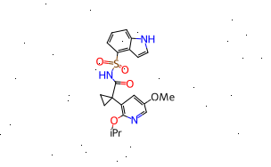 COc1cnc(OC(C)C)c(C2(C(=O)NS(=O)(=O)c3cccc4[nH]ccc34)CC2)c1